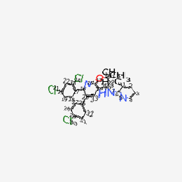 Cc1cccnc1N[C@@H]1CC(C)(C)Oc2nc(-c3ccc(Cl)cc3Cl)c(-c3ccc(Cl)cc3)cc21